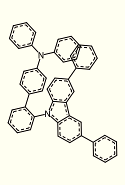 c1ccc(-c2ccc3c(c2)c2cc(-c4ccccc4)ccc2n3-c2ccccc2-c2ccc(N(c3ccccc3)c3ccccc3)cc2)cc1